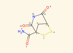 NC(=O)C12CC(SS1)C(=O)[N]C2=O